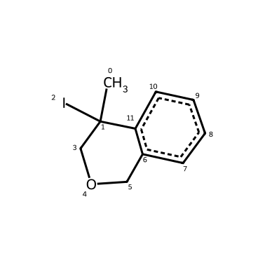 CC1(I)COCc2ccccc21